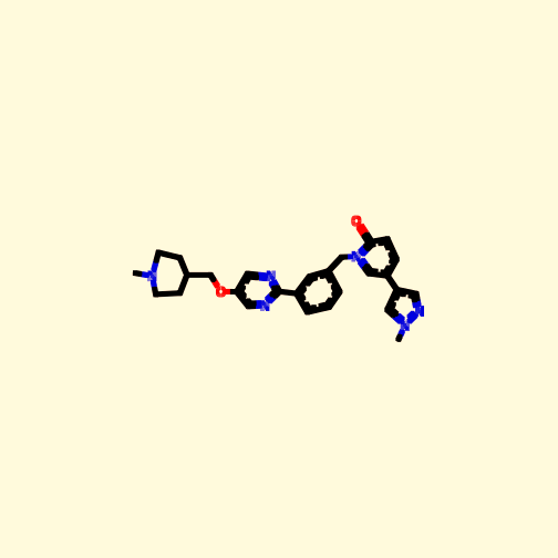 CN1CCC(COc2cnc(-c3cccc(Cn4cc(-c5cnn(C)c5)ccc4=O)c3)nc2)CC1